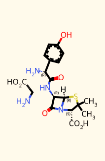 CC1(C)S[C@@H]2[C@H](NC(=O)[C@H](N)c3ccc(O)cc3)C(=O)N2[C@H]1C(=O)O.NCC(=O)O